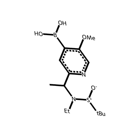 CCN(C(C)c1cc(B(O)O)c(OC)cn1)[S+]([O-])C(C)(C)C